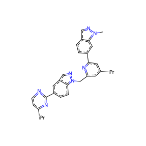 CC(C)c1cc(Cn2ncc3cc(-c4nccc(C(C)C)n4)ccc32)nc(-c2ccc3cnn(C)c3c2)c1